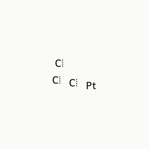 [C].[C].[C].[Pt]